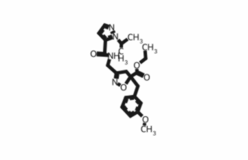 CCOC(=O)C1(Cc2cccc(OC)c2)CC(CNC(=O)c2ccnn2C(C)C)=NO1